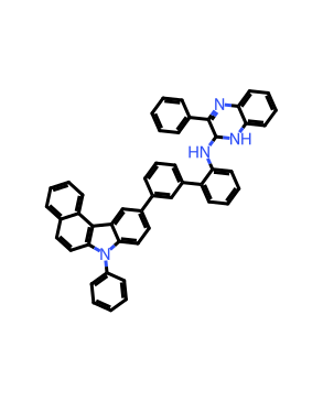 c1ccc(C2=Nc3ccccc3NC2Nc2ccccc2-c2cccc(-c3ccc4c(c3)c3c5ccccc5ccc3n4-c3ccccc3)c2)cc1